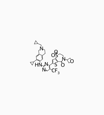 O=C1c2sc(-c3nc(Nc4cc5c(cc4C4CC4)CN(CC4CC4)CC5)ncc3C(F)(F)F)cc2S(=O)(=O)CCN1C1COC1